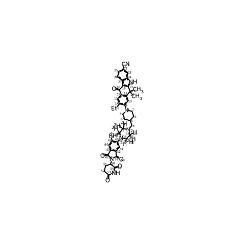 [2H]C1([2H])N(CC2CCN(c3cc4c(cc3CC)C(=O)c3c([nH]c5cc(C#N)ccc35)C4(C)C)CC2)C([2H])([2H])C([2H])([2H])N(c2cc3c(cc2F)C(=O)N(C2CCC(=O)NC2=O)C3=O)C1([2H])[2H]